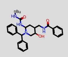 CCCCNC(=O)NC1CC(CNC(=O)c2ccccc2)C(O)CN1C(c1ccccc1)c1ccccc1